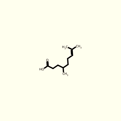 CC(C)=CCCC(C)CCC(=O)O